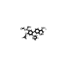 Nc1cnnc2cc(-c3cc(B(O)OC=O)c(OC4CC4)cc3-n3cccn3)ccc12